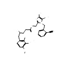 COc1ccc(CC(C)CCC(=O)[N]Cc2nc(C)c(C)n2Cc2ccccc2C#N)c(Cl)c1OC